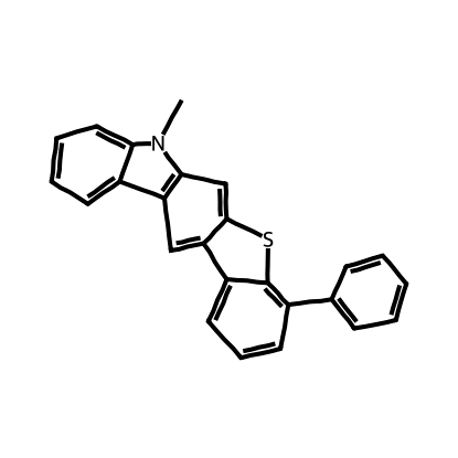 Cn1c2ccccc2c2cc3c(cc21)sc1c(-c2ccccc2)cccc13